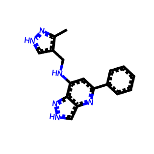 Cc1n[nH]cc1CNc1cc(-c2ccccc2)nc2c[nH]nc12